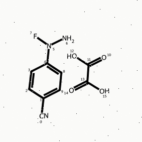 N#Cc1ccc(N(N)F)cc1.O=C(O)C(=O)O